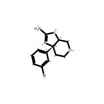 NC1=N[C@@]2(c3cccc(Br)c3)CCOCC2S1